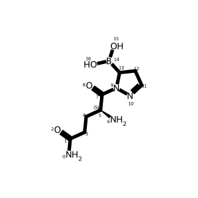 NC(=O)CC[C@H](N)C(=O)N1N=CCC1B(O)O